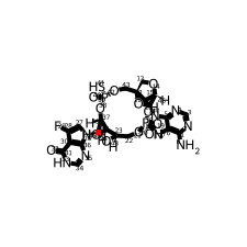 Nc1ncnc2c1ncn2[C@@H]1O[C@@]23CO[C@@H]1[C@@H]2OP(=O)(O)OC[C@H]1O[C@@H](n2cc(F)c4c(=O)[nH]cnc42)[C@H](OP(=O)(S)OC3)[C@@H]1O